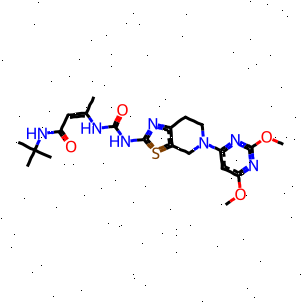 COc1cc(N2CCc3nc(NC(=O)N/C(C)=C\C(=O)NC(C)(C)C)sc3C2)nc(OC)n1